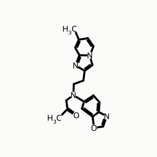 CC(=O)CN(CCc1cn2ccc(C)cc2n1)c1ccc2ncoc2c1